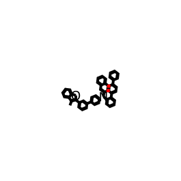 Cc1c(-c2cccc(-c3ccc(N(c4ccc5ccccc5c4)c4ccccc4-c4ccc(-c5ccccc5)cc4)cc3)c2)oc2ccccc12